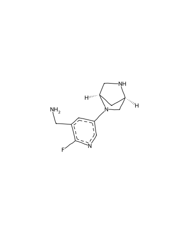 NCc1cc(N2C[C@H]3C[C@@H]2CN3)cnc1F